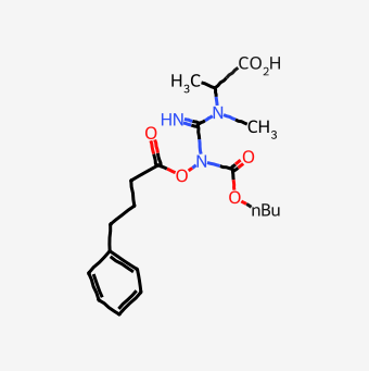 CCCCOC(=O)N(OC(=O)CCCc1ccccc1)C(=N)N(C)C(C)C(=O)O